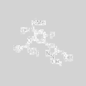 COC(=O)c1cc(F)c(-c2cc(CO)n(C)n2)cc1OC(C)C(F)(F)F